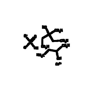 O=C(O)CC(O)(CC(=O)O)C(=O)O.O=C(O)CC(O)C(=O)O.O=P([O-])([O-])O.[Ca+2]